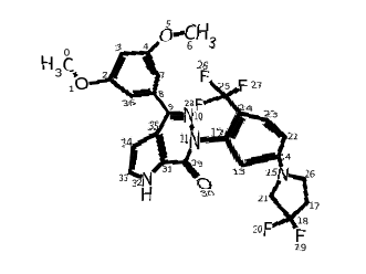 COc1cc(OC)cc(-c2nn(-c3cc(N4CCC(F)(F)C4)ccc3C(F)(F)F)c(=O)c3[nH]ccc23)c1